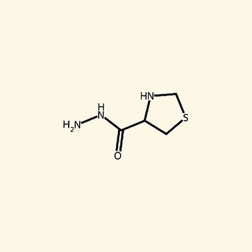 NNC(=O)C1CSCN1